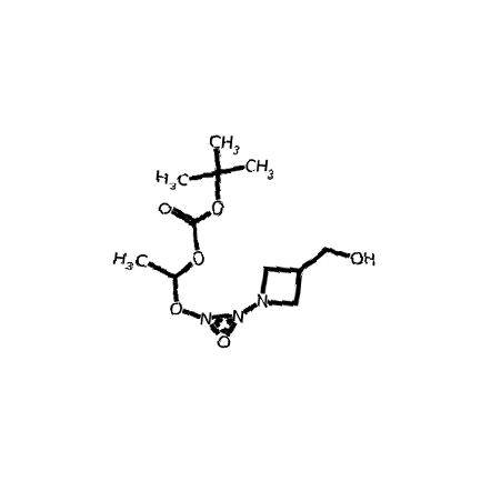 CC(OC(=O)OC(C)(C)C)On1on1N1CC(CO)C1